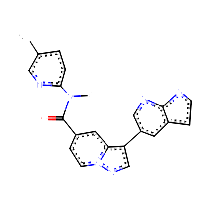 CN(C(=O)c1ccn2ncc(-c3cnc4[nH]ccc4c3)c2c1)c1ccc(C#N)cn1